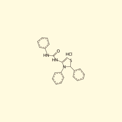 Cl.O=C(NC1=CSC(c2ccccc2)N1c1ccccc1)Nc1ccccc1